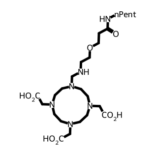 CCCCCNC(=O)CCOCCNCN1CCN(CC(=O)O)CCN(CC(=O)O)CCN(CC(=O)O)CC1